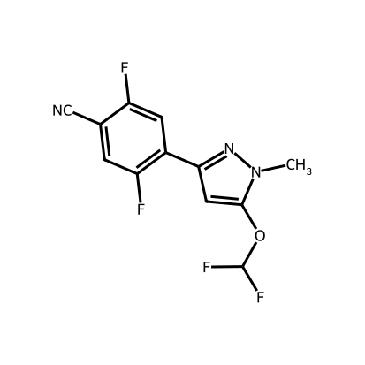 Cn1nc(-c2cc(F)c(C#N)cc2F)cc1OC(F)F